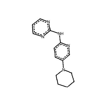 c1cnc(Nc2ccc(N3CCCCC3)cn2)nc1